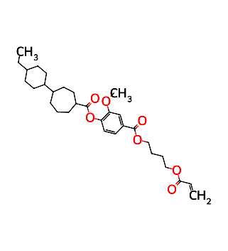 C=CC(=O)OCCCCOC(=O)c1ccc(OC(=O)C2CCCC(C3CCC(CC)CC3)CC2)c(OC)c1